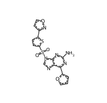 Nc1nc(-c2ccco2)c2ncn(S(=O)(=O)c3ccc(-c4ccon4)s3)c2n1